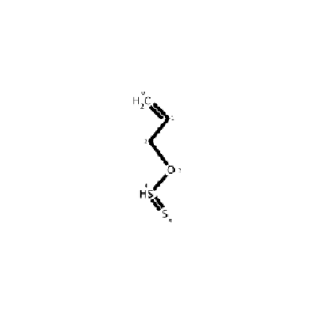 C=CCO[SH]=S